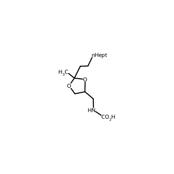 CCCCCCCCCC1(C)OCC(CNC(=O)O)O1